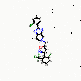 Fc1ccccc1-c1nc2ccn(Cc3cc(C4=C(C(F)(F)F)C=CCC4F)no3)cc-2n1